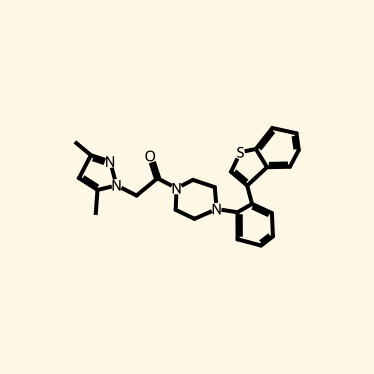 Cc1cc(C)n(CC(=O)N2CCN(c3ccccc3-c3csc4ccccc34)CC2)n1